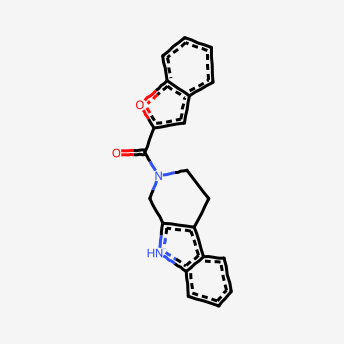 O=C(c1cc2ccccc2o1)N1CCc2c([nH]c3ccccc23)C1